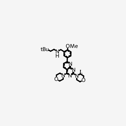 COc1ccc(-c2ccc3c(N4CCOCC4)nc(N4CCOC[C@@H]4C)nc3n2)cc1CNCCC(C)(C)C